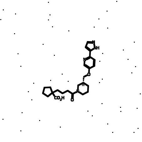 O=C(CCCC1(C(=O)O)CCCC1)N1CCC[C@@H](COc2ccc(-c3ccn[nH]3)nc2)C1